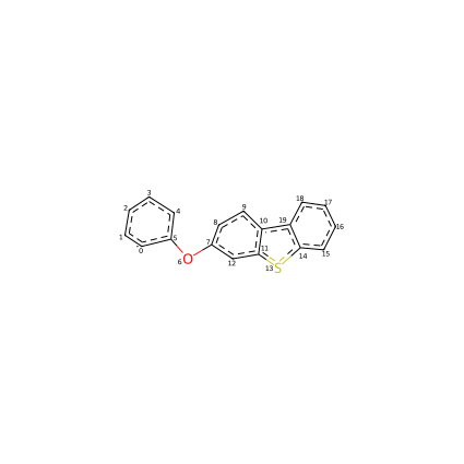 [c]1ccccc1Oc1ccc2c(c1)sc1ccccc12